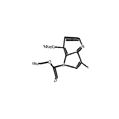 COc1ccnc2c(I)cn(C(=O)OC(C)(C)C)c12